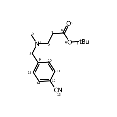 CN(CCC(=O)OC(C)(C)C)Cc1ccc(C#N)cc1